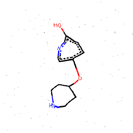 Oc1ccc(OC2CCNCC2)cn1